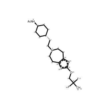 CC(=O)N[C@H]1CC[C@H](CCN2CCc3nc(OCC(C)(F)F)sc3CC2)CC1